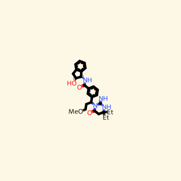 CCC1(CC)CC(=O)N(C(CCOC)c2cccc(C(=O)N[C@@H]3c4ccccc4C[C@@H]3O)c2)C(=N)N1